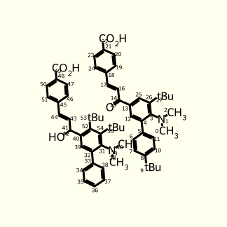 CN(C)c1c(-c2ccc(C(C)(C)C)cc2)cc(C(=O)C=Cc2ccc(C(=O)O)cc2)cc1C(C)(C)C.CN(C)c1c(-c2ccccc2)cc(C(O)C=Cc2ccc(C(=O)O)cc2)c(C(C)(C)C)c1C(C)(C)C